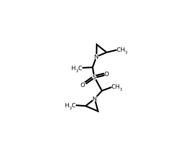 CC1CN1C(C)S(=O)(=O)C(C)N1CC1C